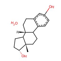 C[C@]12CCC3c4ccc(O)cc4CC[C@H]3C1CC[C@H]2O.O